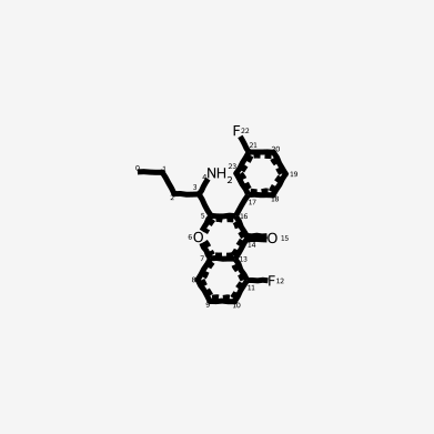 CCCC(N)c1oc2cccc(F)c2c(=O)c1-c1cccc(F)c1